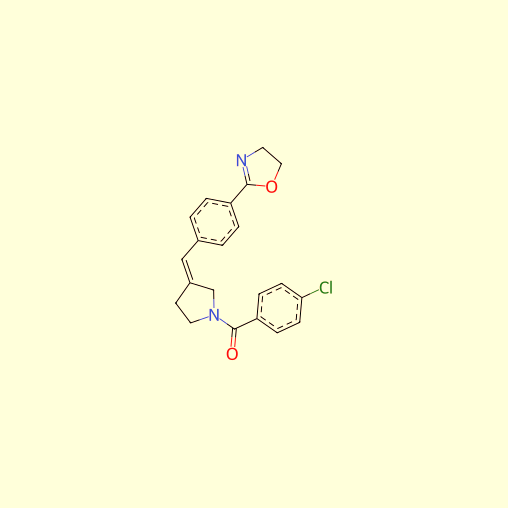 O=C(c1ccc(Cl)cc1)N1CCC(=Cc2ccc(C3=NCCO3)cc2)C1